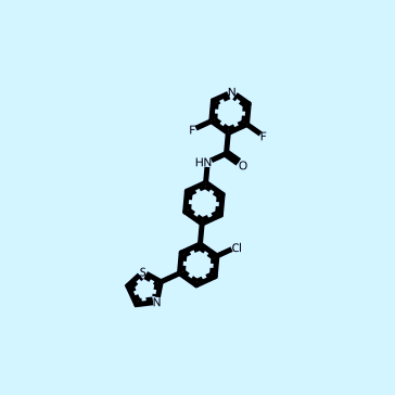 O=C(Nc1ccc(-c2cc(-c3nccs3)ccc2Cl)cc1)c1c(F)cncc1F